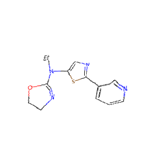 CCN(C1=NCCO1)c1cnc(-c2cccnc2)s1